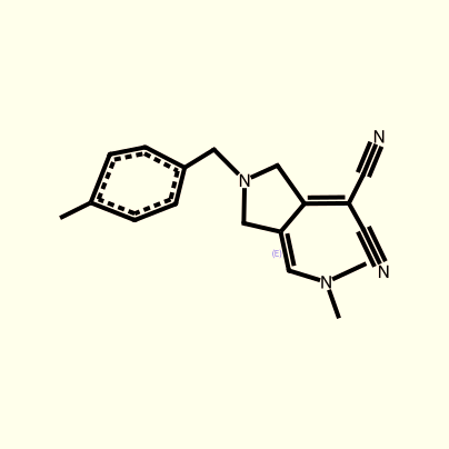 Cc1ccc(CN2CC(=C(C#N)C#N)/C(=C\N(C)C)C2)cc1